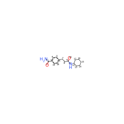 NC(=O)c1ccc(C[CH]C(=O)NC2CCCCC2)cc1